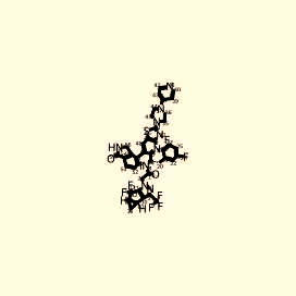 O=C(Cn1nc(C(F)(F)F)c2c1C(F)(F)[C@@H]1C[C@H]21)N[C@@H](Cc1cc(F)cc(F)c1)c1nc2nc(N3CCN(c4ccncc4)CC3)sc2cc1-c1cccc2c1CNC2=O